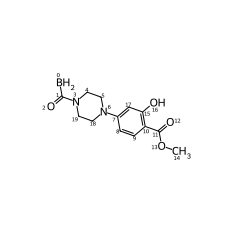 BC(=O)N1CCN(c2ccc(C(=O)OC)c(O)c2)CC1